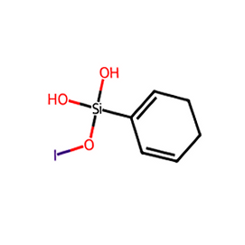 O[Si](O)(OI)C1=CCCC=C1